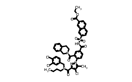 CCCCN(Cc1ccc(Cl)c(Cl)c1)C(=O)c1nn(-c2ccc(C(=O)NS(=O)(=O)c3ccc4ccc(C(=O)OCC)cc4c3)cc2C(=O)N2CCc3ccccc3C2)c(C)c1Cl